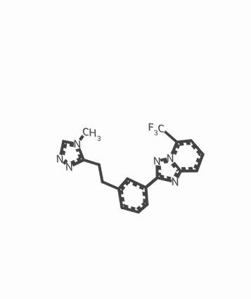 Cn1cnnc1CCc1cccc(-c2nc3cccc(C(F)(F)F)n3n2)c1